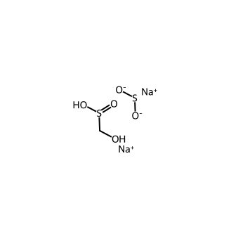 O=S(O)CO.[Na+].[Na+].[O-]S[O-]